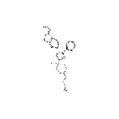 COCCN1CCC(O)(c2cc(-c3ccc4c(c3)CCC4=NO)c(-c3ccncc3)o2)CC1